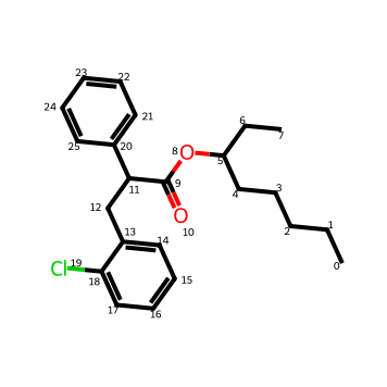 CCCCCC(CC)OC(=O)C(Cc1ccccc1Cl)c1ccccc1